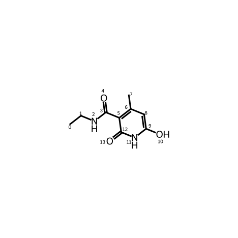 CCNC(=O)c1c(C)cc(O)[nH]c1=O